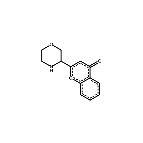 O=c1cc(C2COCCN2)oc2ccccc12